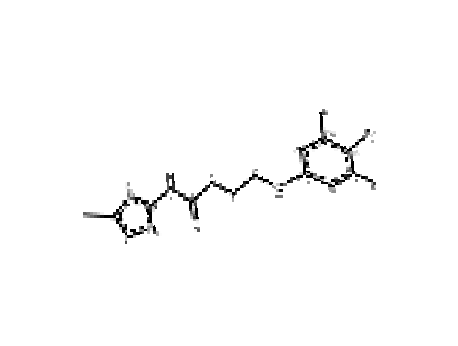 Cc1cnc(NC(=O)CCCOc2cc(C)c(Br)c(C)c2)s1